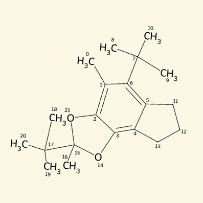 Cc1c2c(c3c(c1C(C)(C)C)CCC3)OC(C)(C(C)(C)C)O2